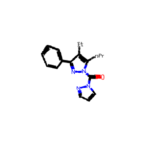 CCCc1c(CC)c(-c2ccccc2)nn1C(=O)n1cccn1